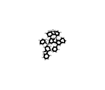 c1ccc(-c2cc3ccccc3c3c2c2cc(N(c4ccccc4)c4ccc5c(c4)sc4ccccc45)ccc2n3-c2cccc3oc4ccccc4c23)cc1